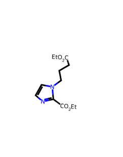 CCOC(=O)CCCn1ccnc1C(=O)OCC